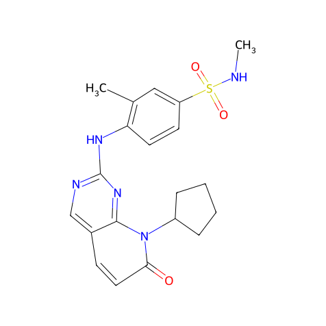 CNS(=O)(=O)c1ccc(Nc2ncc3ccc(=O)n(C4CCCC4)c3n2)c(C)c1